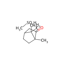 CC12CCC(CC1=O)C2(C)C.CS(=O)(=O)O